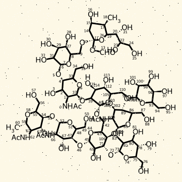 CC(=O)NC1C(O)[C@H](O[C@@H]2OC(CO[C@]3(OC=O)C[C@@H](O)[C@@H](C)C([C@H](O)C(O)CO)O3)[C@H](O)[C@H](O)C2O)C(CO)O[C@H]1OC1[C@@H](OCC2O[C@@H](O[C@@H]3C(CO)O[C@@H](O[C@@H]4C(CO)O[C@@H](C)C(NC(C)=O)[C@H]4O)C(NC(C)=O)[C@H]3O)C(O)[C@@H](O[C@H]3O[C@H](CO)[C@@H](O)C(O)C3O[C@@H]3OC(CO)[C@@H](O[C@@H]4OC(CO)[C@H](O)C(O)[C@@H]4O)[C@H](O)C3NC(C)=O)[C@@H]2O)OC(CO)[C@@H](O)[C@@H]1O